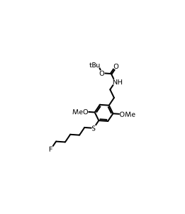 COc1cc(SCCCCCF)c(OC)cc1CCNC(=O)OC(C)(C)C